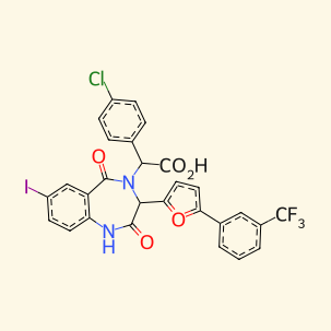 O=C(O)C(c1ccc(Cl)cc1)N1C(=O)c2cc(I)ccc2NC(=O)C1c1ccc(-c2cccc(C(F)(F)F)c2)o1